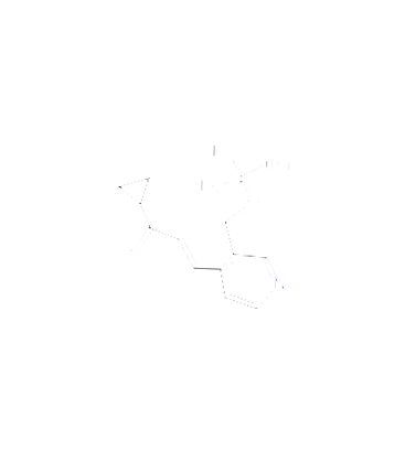 CC(C)(C)[Si](C)(C)OCc1cnccc1/C=C/C(=O)C1CC1